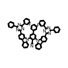 N#Cc1c(-n2c3ccccc3c3ccc(-c4nc(-c5ccccc5)nc(-c5ccccc5)n4)cc32)cc(-c2cc(F)cc(F)c2)cc1-n1c2ccccc2c2ccc(-c3nc(-c4ccccc4)nc(-c4ccccc4)n3)cc21